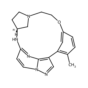 Cc1ccc2cc1-c1cnn3ccc(nc13)N[C@@H]1CCN(CCO2)C1